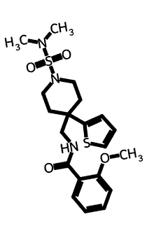 COc1ccccc1C(=O)NCC1(c2cccs2)CCN(S(=O)(=O)N(C)C)CC1